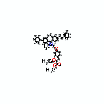 CCOC(=O)C(Cc1ccc(OCCN(C)C2c3ccc(CCc4ccccc4)cc3CCc3cc(-c4ccccc4)ccc32)cc1)OCC